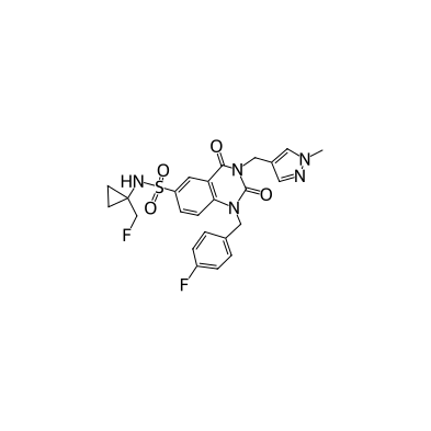 Cn1cc(Cn2c(=O)c3cc(S(=O)(=O)NC4(CF)CC4)ccc3n(Cc3ccc(F)cc3)c2=O)cn1